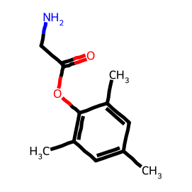 Cc1cc(C)c(OC(=O)CN)c(C)c1